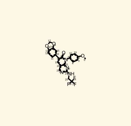 COc1ccc(-n2c(=O)c(-c3ccc4c(c3)OCO4)cc3cnc(NCC(F)(F)F)nc32)cc1